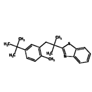 Cc1ccc(C(C)(C)C)cc1CC(C)(C)c1nc2ccccc2s1